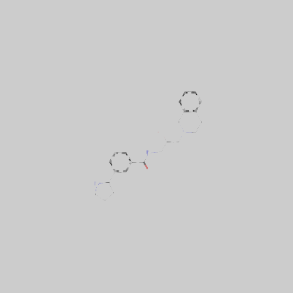 O=C(NCC(O)CN1CCc2ccccc2C1)c1cccc(C2CCCN2)c1